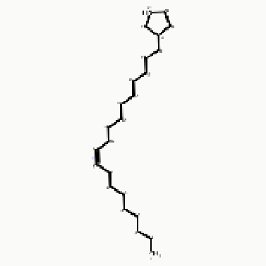 CCCCCCCC/C=C\CCCCCCCCCC1CCNC1